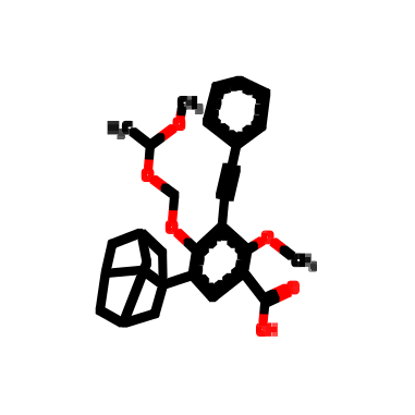 COc1c(C(=O)O)cc(C23CC4CC(CC(C4)C2)C3)c(OCOC(C)OC)c1C#Cc1ccccc1